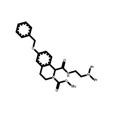 CC(C)[As](CCNC(=O)C1c2ccc(OCc3ccccc3)cc2CCN1C(=O)OC(C)(C)C)C(C)C